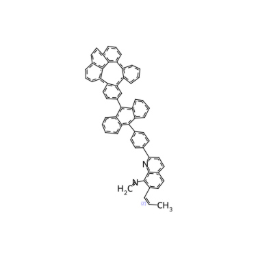 C=Nc1c(/C=C\C)ccc2ccc(-c3ccc(-c4c5ccccc5c(-c5ccc6c(c5)c5ccccc5c5cccc7ccc8cccc6c8c75)c5ccccc45)cc3)nc12